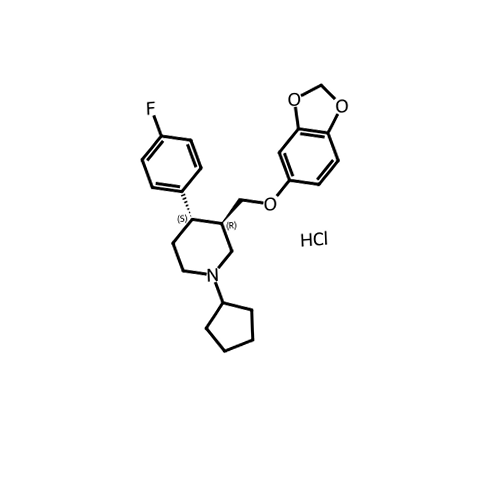 Cl.Fc1ccc([C@H]2CCN(C3CCCC3)C[C@@H]2COc2ccc3c(c2)OCO3)cc1